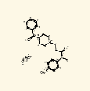 CN(C(=O)CCN1CCN(C(=O)c2ccccc2)CC1)c1cc[c]([Ge+3])cc1.[OH-].[OH-].[OH-]